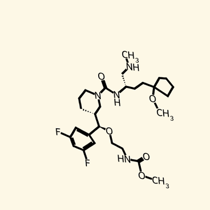 CNC[C@H](CCC1(OC)CCCC1)NC(=O)N1CCC[C@@H]([C@@H](OCCNC(=O)OC)c2cc(F)cc(F)c2)C1